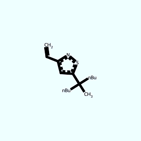 C=Cc1cc(C(C)(CCCC)CCCC)sn1